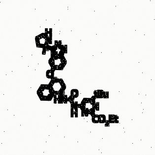 CCOC(=O)c1nc(NC(=O)N[C@H]2CC[C@@H](Oc3ccc4nnc([C@]5(C)CCCN5)n4c3)c3ccccc32)cc(C(C)(C)C)n1